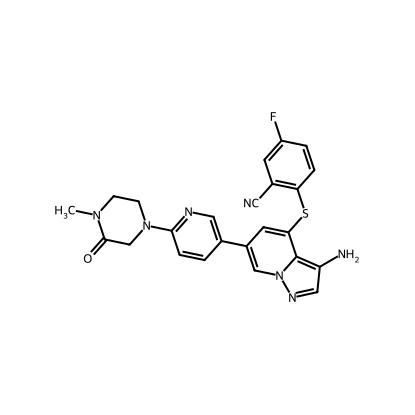 CN1CCN(c2ccc(-c3cc(Sc4ccc(F)cc4C#N)c4c(N)cnn4c3)cn2)CC1=O